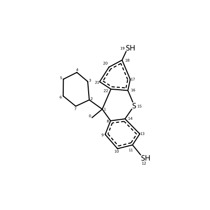 CC1(C2CCCCC2)c2ccc(S)cc2Sc2cc(S)ccc21